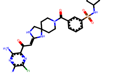 Nc1nc(N)c(C(=O)/C=C2\NCC3(CCN(C(=O)c4cccc(S(=O)(=O)NC5CCCC5)c4)CC3)N2)nc1Cl